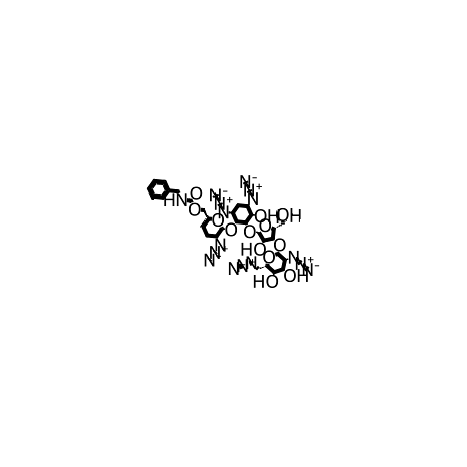 [N-]=[N+]=NC[C@@H]1O[C@H](O[C@H]2[C@@H](O)[C@H](O[C@@H]3[C@@H](O)[C@H](N=[N+]=[N-])C[C@H](N=[N+]=[N-])[C@H]3O[C@H]3O[C@H](COC(=O)NCc4ccccc4)CC[C@H]3N=[N+]=[N-])O[C@@H]2CO)[C@H](N=[N+]=[N-])[C@@H](O)[C@@H]1O